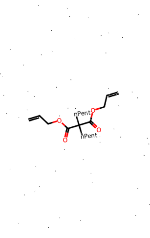 C=CCOC(=O)C(CCCCC)(CCCCC)C(=O)OCC=C